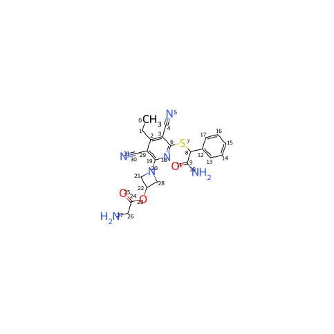 CCc1c(C#N)c(SC(C(N)=O)c2ccccc2)nc(N2CC(OC(=O)CN)C2)c1C#N